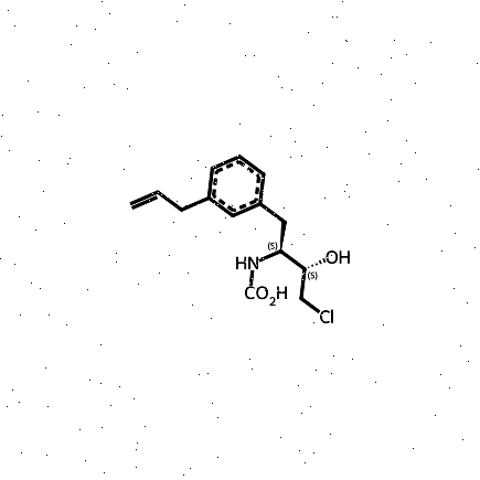 C=CCc1cccc(C[C@H](NC(=O)O)[C@H](O)CCl)c1